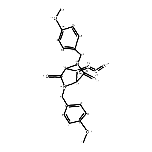 COc1ccc(CN2C(=O)C3N(Cc4ccc(OC)cc4)C(=O)C2S3=S=S=S)cc1